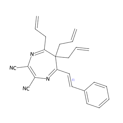 C=CCC1=NC(C#N)=C(C#N)N=C(/C=C/c2ccccc2)C1(CC=C)CC=C